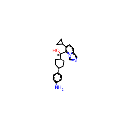 Nc1ccc([C@H]2CC[C@H]([C@@H](O)c3c(C4CC4)ccc4cncn34)CC2)cc1